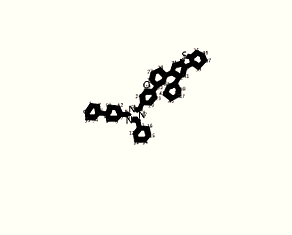 c1ccc(-c2ccc(-c3nc(-c4ccccc4)nc(-c4ccc5c(c4)oc4ccc(-c6cc7sc8ccccc8c7cc6-c6ccccc6)cc45)n3)cc2)cc1